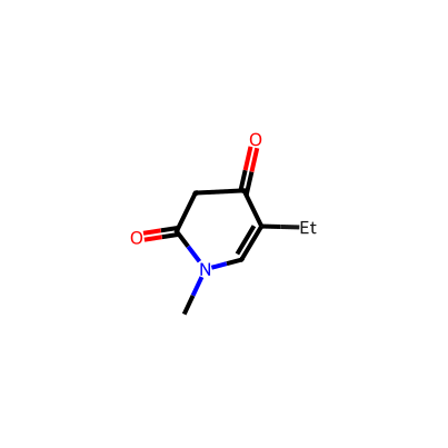 CCC1=CN(C)C(=O)CC1=O